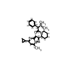 Cc1cc(C2CC2)nc2cc([C@@H]3CCCCN3C(=O)C(c3ccccc3)N(C)C)nn12